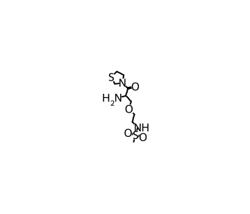 CS(=O)(=O)NCCOCC(N)C(=O)N1CCSC1